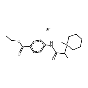 CCOC(=O)c1ccc(NC(=O)C(C)[N+]2(C)CCCCC2)cc1.[Br-]